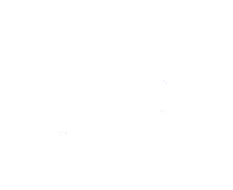 COc1ccc2cc(C3CCCN3)c(OC)cc2c1